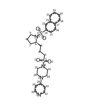 O=S(=O)(CCC[C@H]1CCCN1S(=O)(=O)c1ccc2ccccc2c1)N1CCN(c2ccncc2)CC1